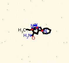 CCCc1cn(CCN2C3CCC2CC(c2cccc(C(N)=O)c2)C3)nn1